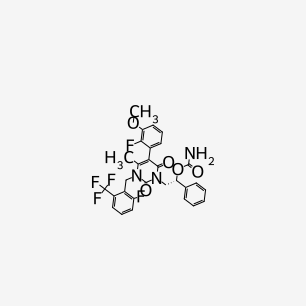 COc1cccc(-c2c(C)n(Cc3c(F)cccc3C(F)(F)F)c(=O)n(C[C@H](OC(N)=O)c3ccccc3)c2=O)c1F